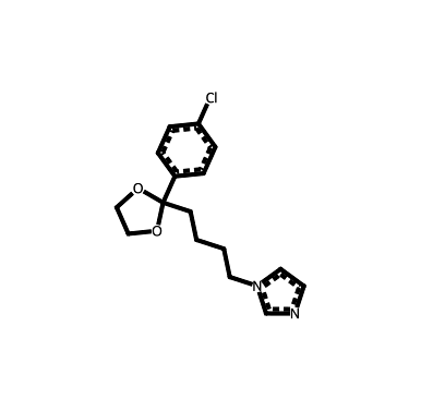 Clc1ccc(C2(CCCCn3ccnc3)OCCO2)cc1